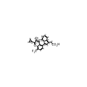 CCN(Cc1cc(C(F)(F)F)ccc1-c1cc(CC(=O)O)c2ccnc(C)n12)C(=O)C1CC1